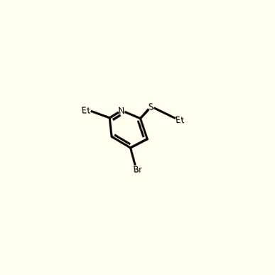 CCSc1cc(Br)cc(CC)n1